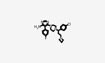 Nc1ncnc(N2CCN(C(CCN3CCC3)c3ccc(Cl)cc3)CC2)c1-c1ccc(F)cc1